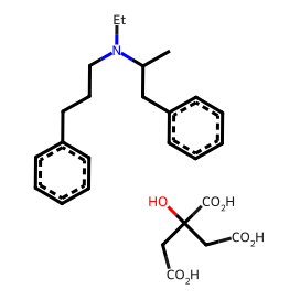 CCN(CCCc1ccccc1)C(C)Cc1ccccc1.O=C(O)CC(O)(CC(=O)O)C(=O)O